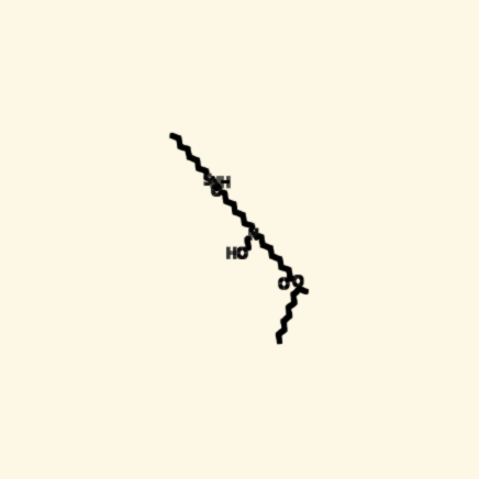 CCCCCCCCSNOCCCCCCCN(CCO)CCCCCCCC(=O)OC(C)CCCCCCCC